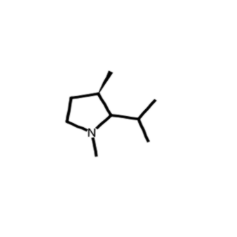 CC(C)C1[C@H](C)CCN1C